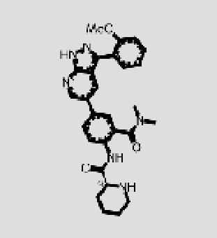 COc1ccccc1-c1n[nH]c2ncc(-c3ccc(NC(=O)[C@@H]4CCCCN4)c(C(=O)N(C)C)c3)cc12